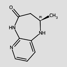 C[C@@H]1CC(=O)Nc2ncccc2N1